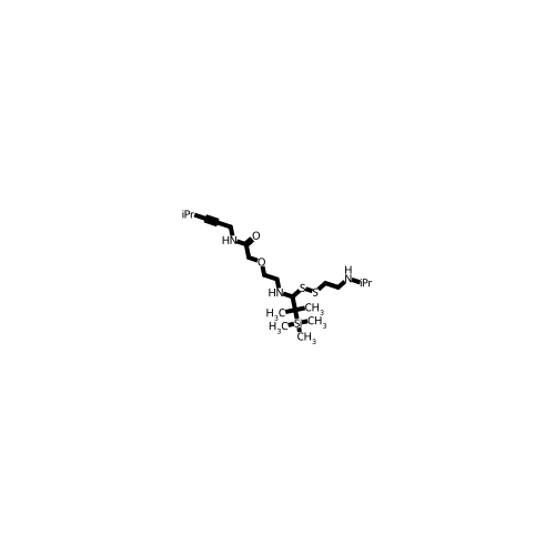 CC(C)C#CCNC(=O)COCCNC(SSCCNC(C)C)C(C)(C)[Si](C)(C)C